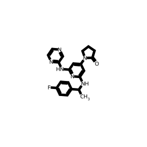 CC(Nc1cc(N2CCCC2=O)cc(Nc2cnccn2)n1)c1ccc(F)cc1